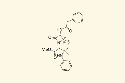 COC(=O)C1N2C(=O)C(NC(=O)Cc3ccccc3)[C@@H]2SCC1(C)Nc1ccccc1